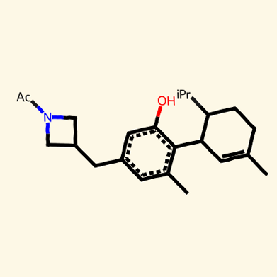 CC(=O)N1CC(Cc2cc(C)c(C3C=C(C)CCC3C(C)C)c(O)c2)C1